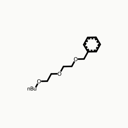 CCCCOCCOCCOCc1ccccc1